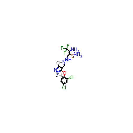 Cc1nn(C)c(Oc2ccc(Cl)cc2Cl)c1/C=N/NC/C(SN)=C(/N)C(F)(F)F